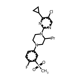 CC(C)C1CN(c2ccc(F)c(S(C)(=O)=O)c2)CCN1c1ncc(Cl)c(C2CC2)n1